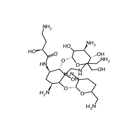 NCCNCC1(O)C(O[C@H]2OC(CN)CCC2N)[C@@H](N)C[C@@H](NC(=O)[C@@H](O)CCN)[C@@H]1O[C@H]1OC(CO)[C@@H](O)[C@H](N)C1O